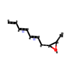 C=C/C=C/C=C/CC1OC1CC